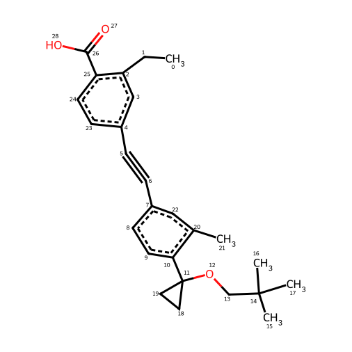 CCc1cc(C#Cc2ccc(C3(OCC(C)(C)C)CC3)c(C)c2)ccc1C(=O)O